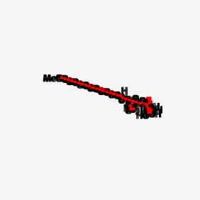 [CH2]c1ccc(O[C@H]2O[C@H](CO)[C@@H](O)[C@H](O)[C@@H]2O)c(NC(=O)CCNC(=O)[C@H](CCCCNC(=O)CCOCCOCCOCCOCCOCCOCCOCCOCCOCCOCCOCCOC)NC(=O)[C@H](CN)N2C(=O)C=CC2=O)c1